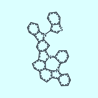 c1ccc2c(-n3c4ccccc4c4cc5c6ccc7ccc8c9ccccc9n9c%10ccccc%10n(c5cc43)c6c7c89)csc2c1